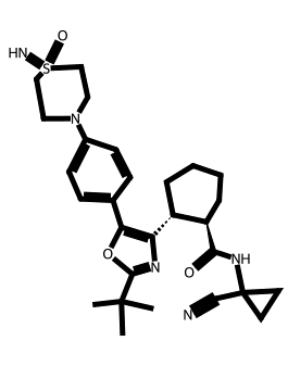 CC(C)(C)c1nc([C@@H]2CCCC[C@H]2C(=O)NC2(C#N)CC2)c(-c2ccc(N3CCS(=N)(=O)CC3)cc2)o1